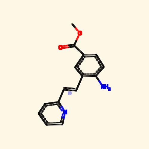 COC(=O)c1ccc(N)c(/C=C/c2ccccn2)c1